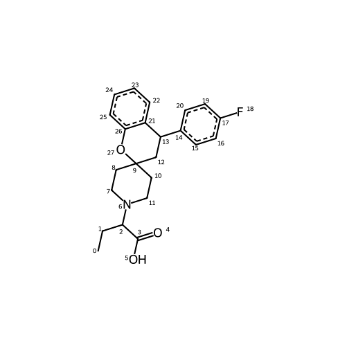 CCC(C(=O)O)N1CCC2(CC1)CC(c1ccc(F)cc1)c1ccccc1O2